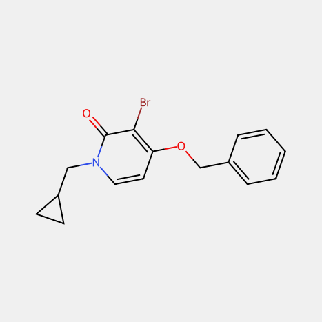 O=c1c(Br)c(OCc2ccccc2)ccn1CC1CC1